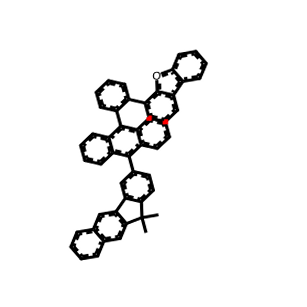 CC1(C)c2ccc(-c3c4ccccc4c(-c4ccccc4-c4cccc5c4oc4ccccc45)c4ccccc34)cc2-c2cc3ccccc3cc21